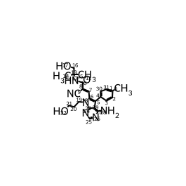 Cc1ccc(-c2c(C=C(C#N)C(=O)NC(C)(C)CO)n(CCCO)c3ncnc(N)c23)cc1